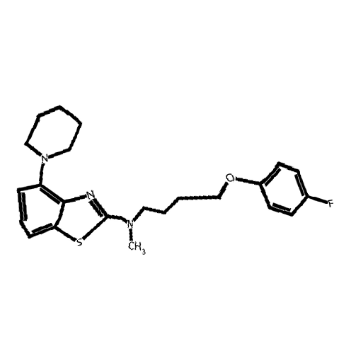 CN(CCCCOc1ccc(F)cc1)c1nc2c(N3CCCCC3)cccc2s1